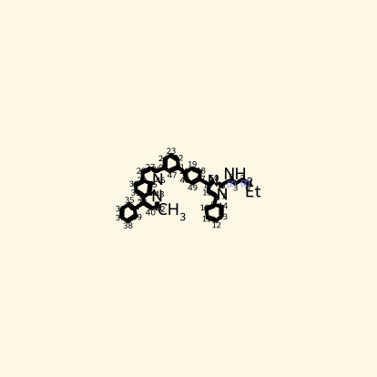 CC/C=C\C=C(/N)c1nc(-c2ccccc2)cc(-c2ccc(-c3cccc(-c4ccc5ccc6c(-c7ccccc7)cc(C)nc6c5n4)c3)cc2)n1